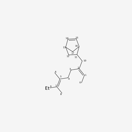 C/C=C(\CC/C(C)=C(\C)CC)CC1CC2C=CC1C2